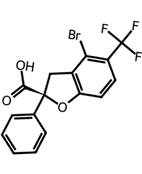 O=C(O)[C@@]1(c2ccccc2)Cc2c(ccc(C(F)(F)F)c2Br)O1